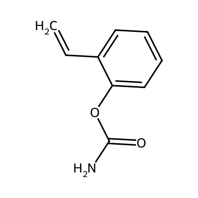 C=Cc1ccccc1OC(N)=O